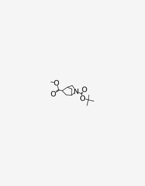 COC(=O)C1CC2CC1CN2C(=O)OC(C)(C)C